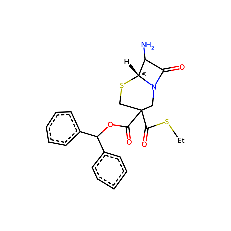 CCSC(=O)C1(C(=O)OC(c2ccccc2)c2ccccc2)CS[C@@H]2C(N)C(=O)N2C1